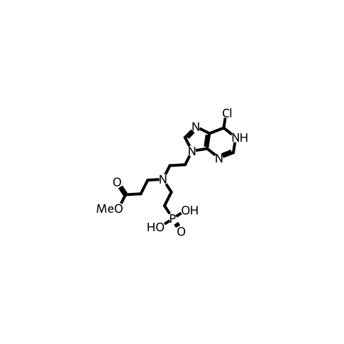 COC(=O)CCN(CCn1cnc2c1N=CNC2Cl)CCP(=O)(O)O